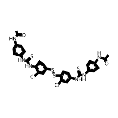 CC(=O)Nc1ccc(NC(=S)Nc2ccc(SSc3ccc(NC(=S)Nc4ccc(NC(C)=O)cc4)c(Cl)c3)c(Cl)c2)cc1